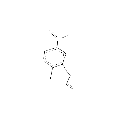 Cc1ncc([N+](=O)[O-])cc1CC=O